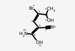 CC(O)/C(Br)=C\C(C#N)=C(/N)O